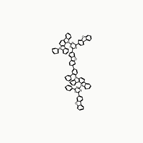 c1ccc(-c2nc(-c3ccc4c(c3)oc3ccccc34)nc(-n3c4ccccc4c4ccc5c(c6ccccc6n5-c5ccc(-c6ccc7c(c6)oc6cc(-c8nc(-c9ccc%10c(c9)oc9ccccc9%10)nc(-n9c%10ccccc%10c%10ccc%11c(c%12ccccc%12n%11-c%11ccccc%11)c%109)n8)ccc67)cc5-c5ccccc5)c43)n2)cc1